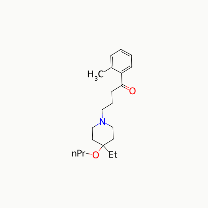 CCCOC1(CC)CCN(CCCC(=O)c2ccccc2C)CC1